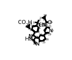 CC(C)(C#N)c1ccc(-c2n[nH]c3cnc4ccc(-c5cncc(NC(=O)C6CC6)c5)cc4c23)cc1.O=C(O)C1CC1